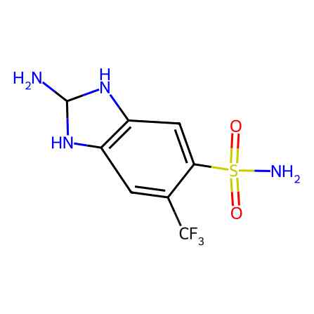 NC1Nc2cc(C(F)(F)F)c(S(N)(=O)=O)cc2N1